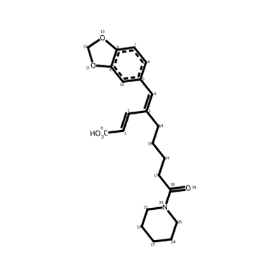 O=C(O)/C=C/C(=Cc1ccc2c(c1)OCO2)CCCCC(=O)N1CCCCC1